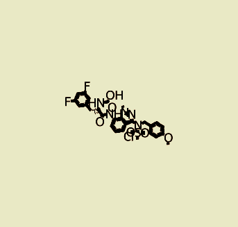 COc1ccc(CN(c2nn(C)c3c(NC(=O)[C@H](Cc4cc(F)cc(F)c4)NC(=O)O)ccc(Cl)c23)S(C)(=O)=O)cc1